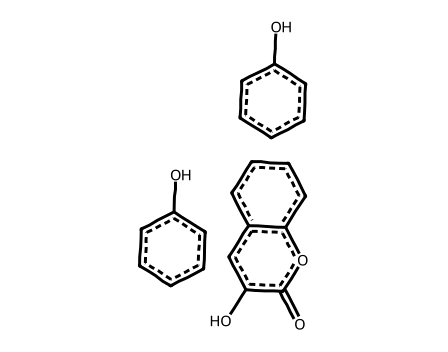 O=c1oc2ccccc2cc1O.Oc1ccccc1.Oc1ccccc1